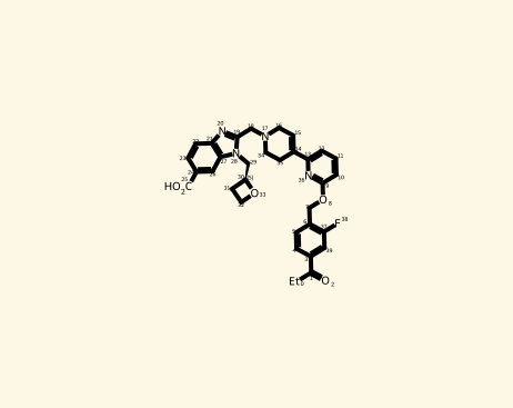 CCC(=O)c1ccc(COc2cccc(C3=CCN(Cc4nc5ccc(C(=O)O)cc5n4C[C@@H]4CCO4)CC3)n2)c(F)c1